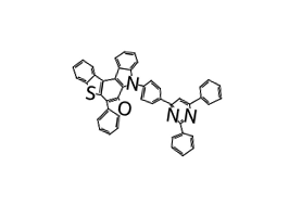 c1ccc(-c2cc(-c3ccc(-n4c5ccccc5c5c6c7ccccc7sc6c6c7ccccc7oc6c54)cc3)nc(-c3ccccc3)n2)cc1